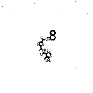 CC(NC(=O)c1ncnc2c1cnn2C)c1ncc(C(=O)NCC2CCCc3ccccc32)s1